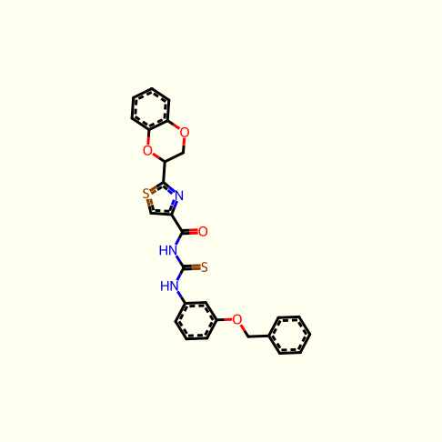 O=C(NC(=S)Nc1cccc(OCc2ccccc2)c1)c1csc(C2COc3ccccc3O2)n1